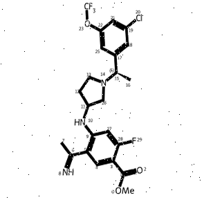 COC(=O)c1cc(C(C)=N)c(NC2CCN([C@H](C)c3cc(Cl)cc(OC(F)(F)F)c3)C2)cc1F